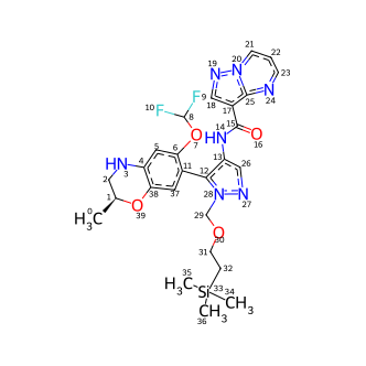 C[C@H]1CNc2cc(OC(F)F)c(-c3c(NC(=O)c4cnn5cccnc45)cnn3COCC[Si](C)(C)C)cc2O1